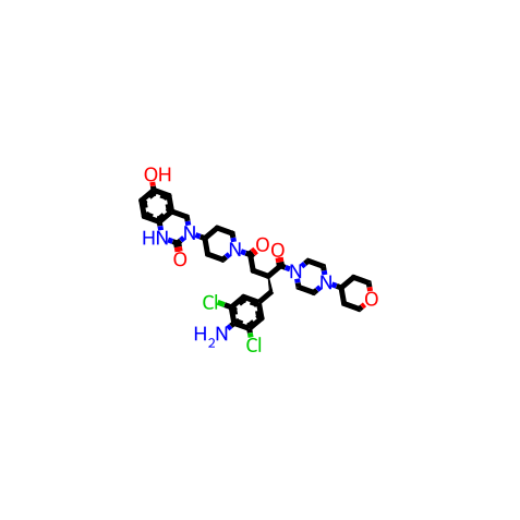 Nc1c(Cl)cc(C[C@@H](CC(=O)N2CCC(N3Cc4cc(O)ccc4NC3=O)CC2)C(=O)N2CCN(C3CCOCC3)CC2)cc1Cl